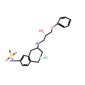 CS(=O)(=O)Nc1ccc2c(c1)CC(NC[C@H](O)COc1ccccc1)CCC2.Cl